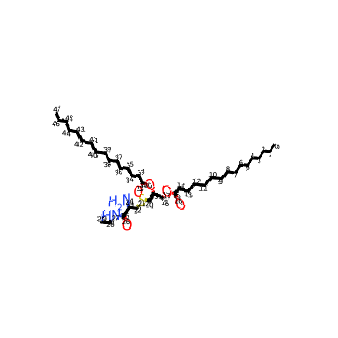 CCCCCCCCCCCCCCCC(=O)OCC(CSCC(N)C(=O)NCC)OC(=O)CCCCCCCCCCCCCCC